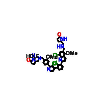 COc1cc(-c2nccc(-c3cccc(-c4ccc5c(OC)c(CNCC6CCC(=O)N6)cc(Cl)c5n4)c3Cl)c2Cl)ccc1CN(CC1CCC(=O)N1)C(=O)O